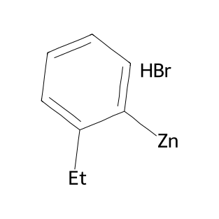 Br.CCc1cccc[c]1[Zn]